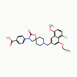 CCOc1cc(CN2CCC3(CC2)CN(c2ccc(C(=O)O)cc2)C(=O)O3)cc2c(OC)ccc(Cl)c12